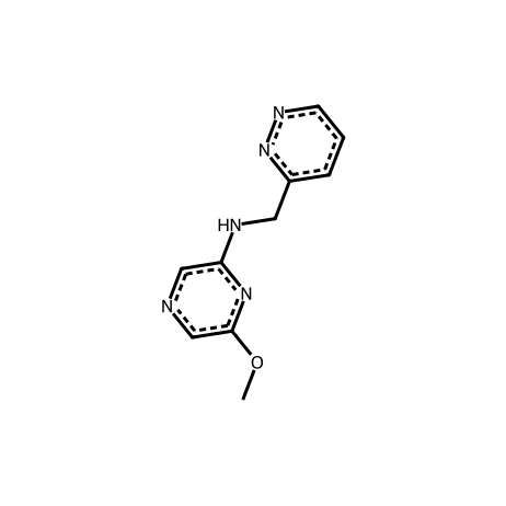 COc1cncc(NCc2cccnn2)n1